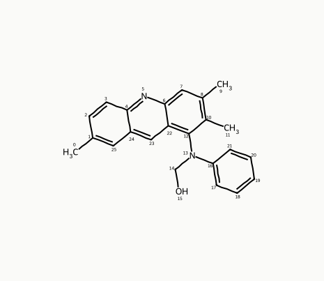 Cc1ccc2nc3cc(C)c(C)c(N(CO)c4ccccc4)c3cc2c1